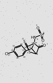 CS(=O)(=O)N[N+]12C(=O)C(SC1=S)C2c1ccc(Cl)cc1